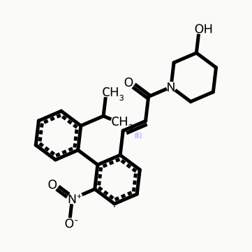 CC(C)c1ccccc1-c1c([N+](=O)[O-])[c]ccc1/C=C/C(=O)N1CCCC(O)C1